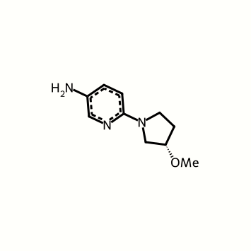 CO[C@H]1CCN(c2ccc(N)cn2)C1